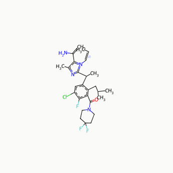 C=C(N)c1c(C)nc(C(C)c2cc(Cl)c(F)c(C(=O)N3CCC(F)(F)CC3)c2CC(C)C)n1/C=C\C